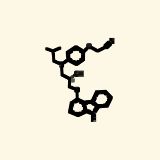 CC(C)CN(C[C@H](O)COc1cccc2[nH]c3ccccc3c12)c1ccc(OCC#N)cc1